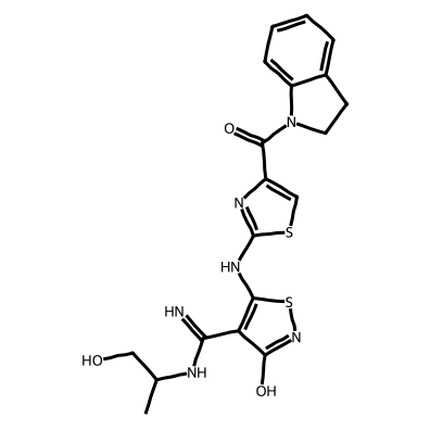 CC(CO)NC(=N)c1c(O)nsc1Nc1nc(C(=O)N2CCc3ccccc32)cs1